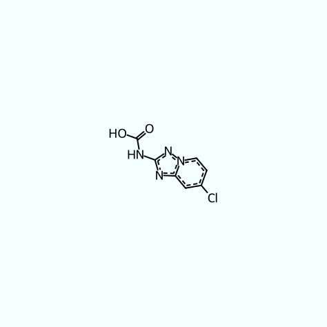 O=C(O)Nc1nc2cc(Cl)ccn2n1